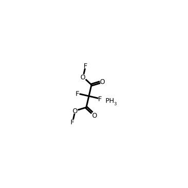 O=C(OF)C(F)(F)C(=O)OF.P